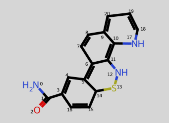 NC(=O)C1=CC2=c3ccc4c(c3NSC2C=C1)NC=CC=4